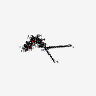 CCCCCCCCCCCCC/C=C/[C@@H](O)[C@H](CO[C@@H]1OC(CO)[C@@H](O[C@@H]2OC(CO)[C@H](O[C@@H]3OC(CO)[C@H](O)[C@H](O[C@@H]4OC(CO)[C@H](O)[C@H](O[C@]5(C(=O)O)CC(O)[C@@H](NC(C)=O)C([C@H](O)[C@@H](CO)O[C@]6(C(=O)O)CC(O)[C@@H](NC(C)=O)C([C@H](O)[C@H](O)CO)O6)O5)C4O)C3NC(C)=O)[C@H](O)C2O)[C@H](O)C1O)NC(=O)CCCCCCCCCCCCCCCCCCCCC